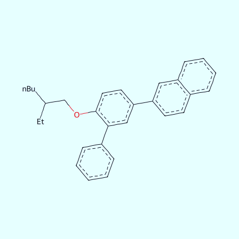 CCCCC(CC)COc1ccc(-c2ccc3ccccc3c2)cc1-c1ccccc1